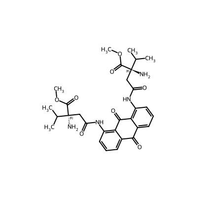 COC(=O)[C@@](N)(CC(=O)Nc1cccc2c1C(=O)c1c(NC(=O)C[C@](N)(C(=O)OC)C(C)C)cccc1C2=O)C(C)C